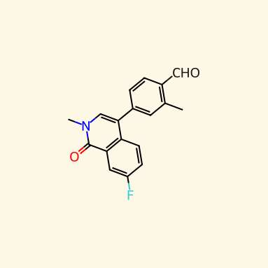 Cc1cc(-c2cn(C)c(=O)c3cc(F)ccc23)ccc1C=O